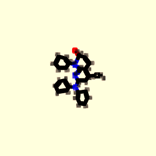 Cc1cc(N(c2ccccc2)c2ccccc2)nc2c1ccc(=O)n2-c1ccccc1